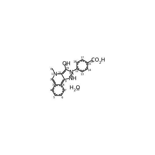 CN1C=c2ccccc2=C2NN(c3ccc(C(=O)O)cc3)C(O)=C21.O